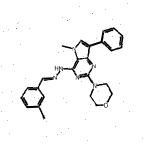 Cc1cccc(/C=N/Nc2nc(N3CCOCC3)nc3c(-c4ccccc4)cn(C)c23)c1